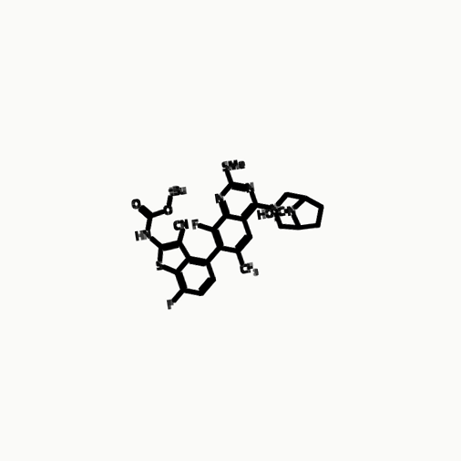 CSc1nc(N2CC3CCC(C2)N3C(=O)O)c2cc(C(F)(F)F)c(-c3ccc(F)c4sc(NC(=O)OC(C)(C)C)c(C#N)c34)c(F)c2n1